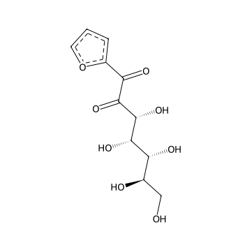 O=C(C(=O)[C@H](O)[C@@H](O)[C@H](O)[C@H](O)CO)c1ccco1